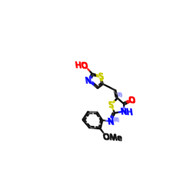 COc1ccccc1/N=C1/NC(=O)/C(=C/c2cnc(O)s2)S1